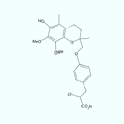 COc1c(O)c(C)c2c(c1OC)OC(C)(COc1ccc(CC(Cl)C(=O)O)cc1)CC2